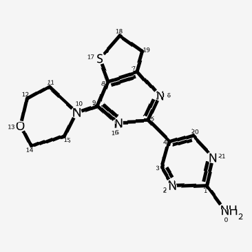 Nc1ncc(-c2nc3c(c(N4CCOCC4)n2)SCC3)cn1